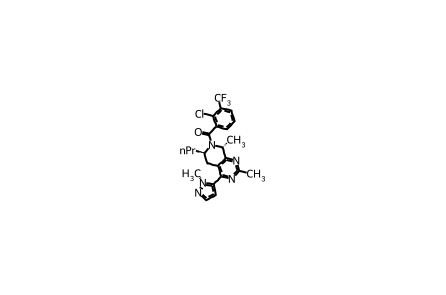 CCC[C@@H]1Cc2c(-c3ccnn3C)nc(C)nc2[C@@H](C)N1C(=O)c1cccc(C(F)(F)F)c1Cl